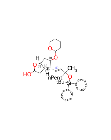 CCCCCC(C)(/C=C/[C@@H]1[C@H]2CC(O)O[C@H]2C[C@H]1OC1CCCCO1)O[Si](c1ccccc1)(c1ccccc1)C(C)(C)C